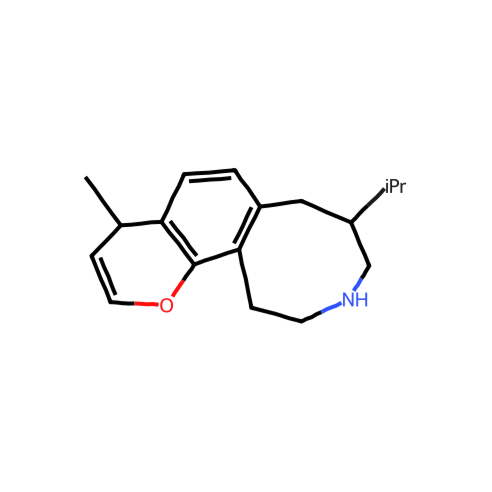 CC1C=COc2c1ccc1c2CCNCC(C(C)C)C1